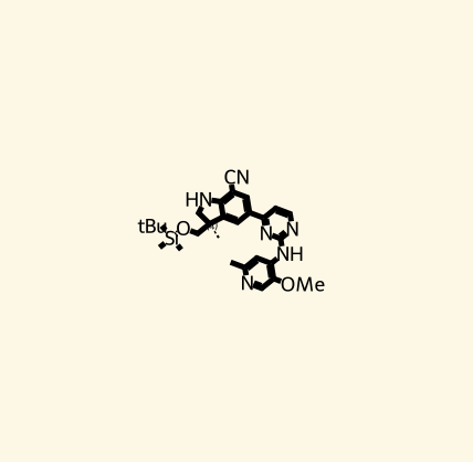 COc1cnc(C)cc1Nc1nccc(-c2cc(C#N)c3c(c2)[C@@](C)(CO[Si](C)(C)C(C)(C)C)CN3)n1